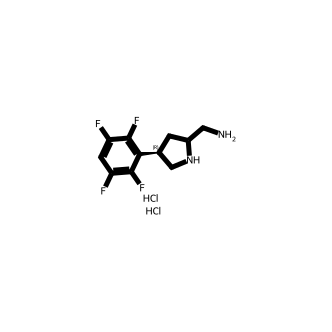 Cl.Cl.NCC1C[C@H](c2c(F)c(F)cc(F)c2F)CN1